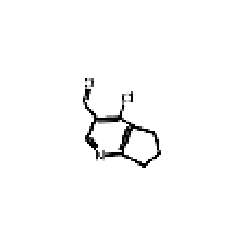 O=Cc1cnc2c(c1Cl)CCC2